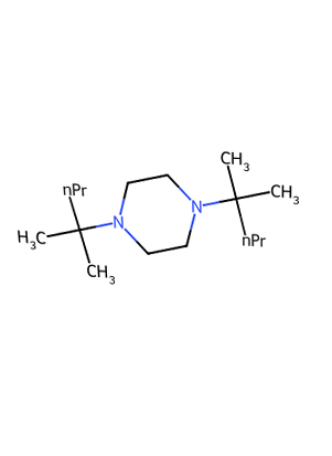 CCCC(C)(C)N1CCN(C(C)(C)CCC)CC1